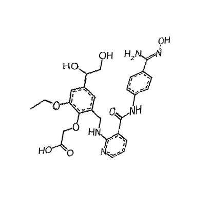 CCOc1cc(C(O)CO)cc(CNc2ncccc2C(=O)Nc2ccc(/C(N)=N/O)cc2)c1OCC(=O)O